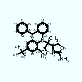 CCC(C)(C1COC(N)=N1)N(c1ccc(C(F)(F)F)cc1C)c1ccccc1Cc1ccccc1